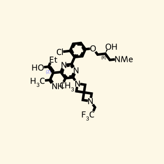 CC/C(O)=C(/C(C)=N)c1nc(-c2cc(OC[C@H](O)CNC)ccc2Cl)nc(N2CC3(CN(CC(F)(F)F)C3)C2)c1C